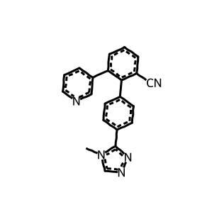 Cn1cnnc1-c1ccc(-c2c(C#N)cccc2-c2cccnc2)cc1